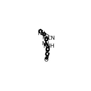 N#Cc1cc(-c2ncnc(Nc3ccc(N4CCN(C5COC5)CC4)cc3)n2)ccc1O[C@H]1CCN(c2ccccn2)C[C@H]1F